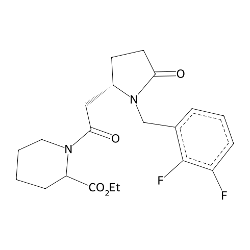 CCOC(=O)C1CCCCN1C(=O)C[C@@H]1CCC(=O)N1Cc1cccc(F)c1F